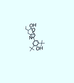 CCC(Cc1nc(-c2cc(C(C)(C)C)c(O)c(C(C)(C)C)c2)cs1)C(=O)O